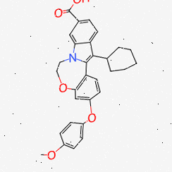 COc1ccc(Oc2ccc3c(c2)OCCn2c-3c(C3CCCCC3)c3ccc(C(=O)O)cc32)cc1